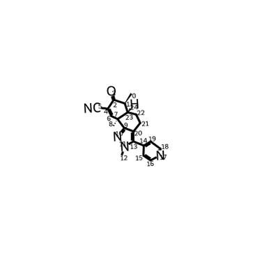 C[C@@H]1C(=O)C(C#N)=C[C@]2(C)c3nn(C)c(-c4ccncc4)c3CC[C@@H]12